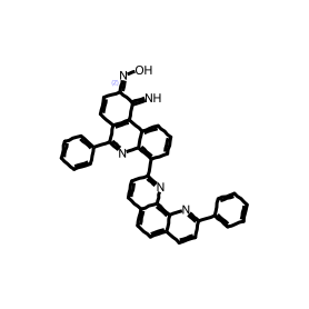 N=C1/C(=N\O)C=Cc2c(-c3ccccc3)nc3c(-c4ccc5ccc6ccc(-c7ccccc7)nc6c5n4)cccc3c21